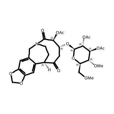 COC[C@H]1O[C@@H](O[C@@H]2CC(=O)[C@@H]3CCN(Cc4cc5c(cc43)OCO5)C(=O)[C@H]2OC(C)=O)[C@H](OC(C)=O)[C@@H](OC(C)=O)[C@@H]1OC